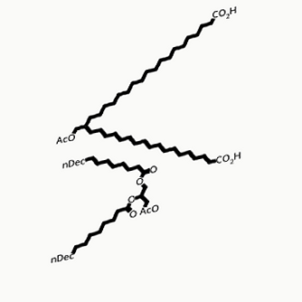 CC(=O)OCC(CCCCCCCCCCCCCCCCCCC(=O)O)CCCCCCCCCCCCCCCCCC(=O)O.CCCCCCCCCCCCCCCCCC(=O)OCC(COC(C)=O)OC(=O)CCCCCCCCCCCCCCCCC